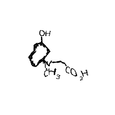 CN(CC(=O)O)c1cccc(O)c1